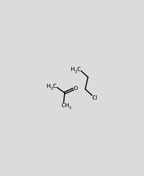 CC(C)=O.CCCCl